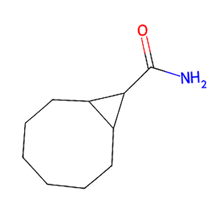 NC(=O)C1C2CCCCCCC21